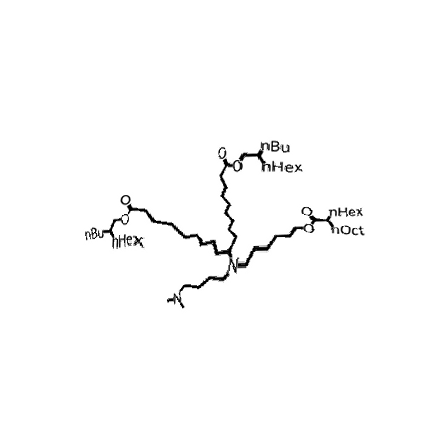 CCCCCCCCC(CCCCCC)C(=O)OCCCCCCN(CCCCN(C)C)C(CCCCCCCCC(=O)OCC(CCCC)CCCCCC)CCCCCCCCC(=O)OCC(CCCC)CCCCCC